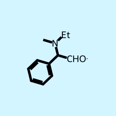 CCN(C)C([C]=O)c1ccccc1